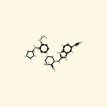 COc1ccc([C@H]2CNC(=O)[C@H](Cc3nc4cc(C#N)ccc4o3)C2)cc1OC1CCCC1